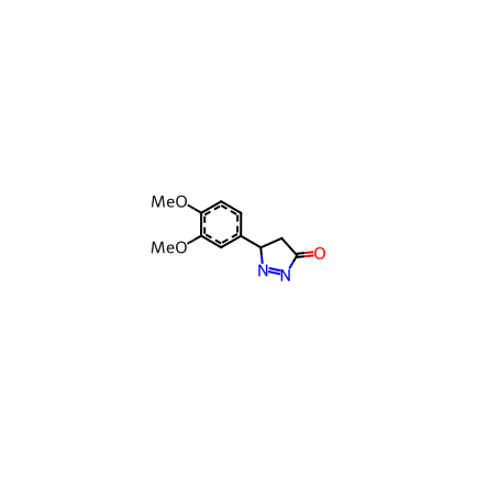 COc1ccc(C2CC(=O)N=N2)cc1OC